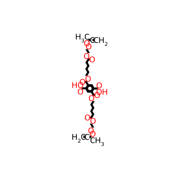 C=C=C(C)OOCCOC(=O)CCCCCOC(=O)c1cc(C(=O)O)c(C(=O)OCCCCCC(=O)OCCOOC(C)=C=C)cc1C(=O)O